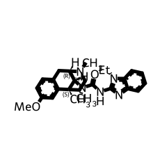 CCn1c(NC(=O)N(C)[C@H]2[C@H]3Cc4ccc(OC)cc4[C@]2(C)CCN3C)nc2ccccc21